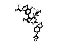 [2H]C([2H])([2H])Oc1nc(N[C@H]2CCN(C3COC3)C[C@@H]2F)nn2cc(F)c(-c3cc(F)c4ncn(CC(F)F)c4c3)c12